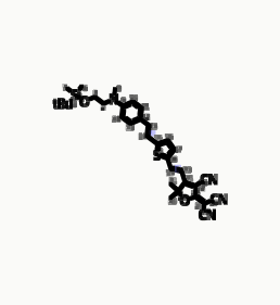 CN(CCO[Si](C)(C)C(C)(C)C)c1ccc(/C=C/c2ccc(/C=C/C3=C(C#N)C(=C(C#N)C#N)OC3(C)C)s2)cc1